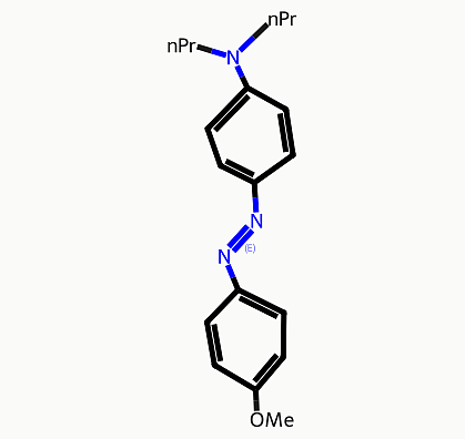 CCCN(CCC)c1ccc(/N=N/c2ccc(OC)cc2)cc1